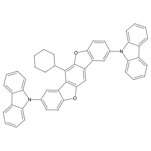 c1ccc2c(c1)c1ccccc1n2-c1ccc2oc3c(C4CCCCC4)c4c(cc3c2c1)oc1ccc(-n2c3ccccc3c3ccccc32)cc14